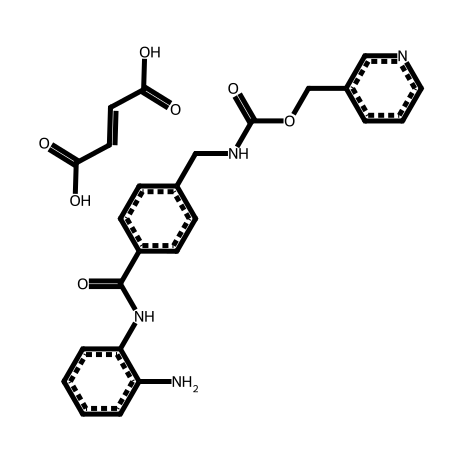 Nc1ccccc1NC(=O)c1ccc(CNC(=O)OCc2cccnc2)cc1.O=C(O)C=CC(=O)O